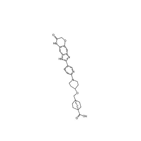 O=C1COc2cc3nc(-c4ccc(N5CCC(OCC67CCC(C(=O)O)(CC6)CC7)CC5)nc4)[nH]c3cc2N1